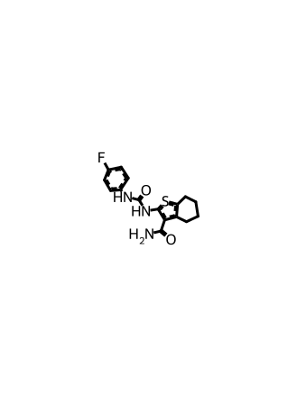 NC(=O)c1c(NC(=O)Nc2ccc(F)cc2)sc2c1CCCC2